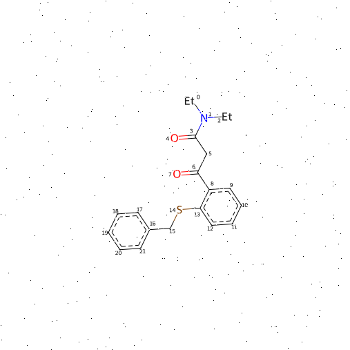 CCN(CC)C(=O)CC(=O)c1ccccc1SCc1ccccc1